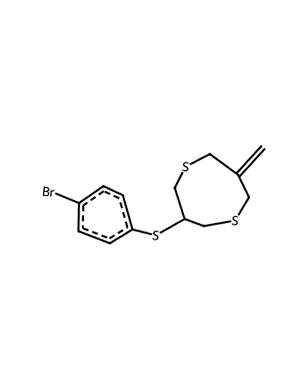 C=C1CSCC(Sc2ccc(Br)cc2)CSC1